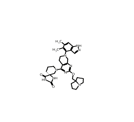 Cc1cc2[nH]ncc2c(N2CCc3c(nc(OCC45CCCN4CCC5)nc3N3CCC[C@]4(C3)NC(=O)NC4=O)C2)c1C